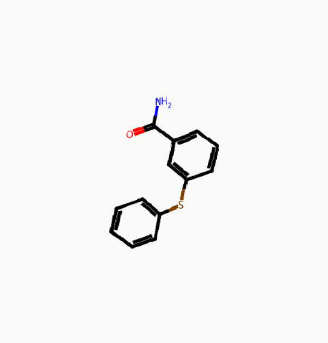 NC(=O)c1cccc(Sc2ccccc2)c1